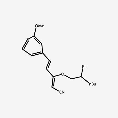 CCCCC(CC)COC(=[C]C#N)C=Cc1cc[c]c(OC)c1